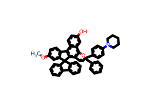 COc1ccc2c(c1)C1(c3ccccc3-c3ccccc31)c1c3c(c4cc(O)ccc4c1-2)OC(c1ccccc1)(c1ccc(N2CCCCC2)cc1)C=C3